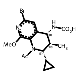 COc1nc(Br)cc2c1N(C(C)=O)[C@@H](C1CC1)[C@H](C)[C@H]2NC(=O)O